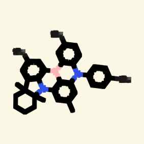 Cc1cc2c3c(c1)N1c4c(cc(C(C)(C)C)cc4C4(C)CCCCC14C)B3c1cc(C(C)(C)C)ccc1N2c1ccc(C(C)(C)C)cc1